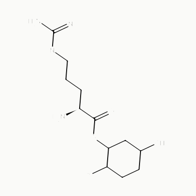 CC1CCC(C(C)C)C(OC(=O)[C@@H](N)CCCNC(=N)N)C1